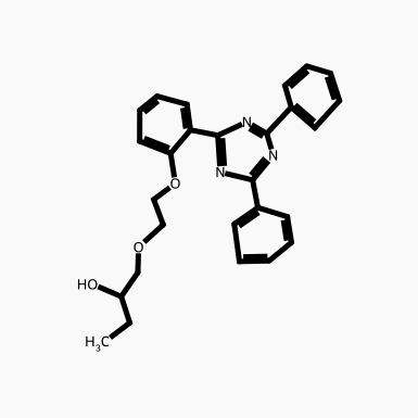 CCC(O)COCCOc1ccccc1-c1nc(-c2ccccc2)nc(-c2ccccc2)n1